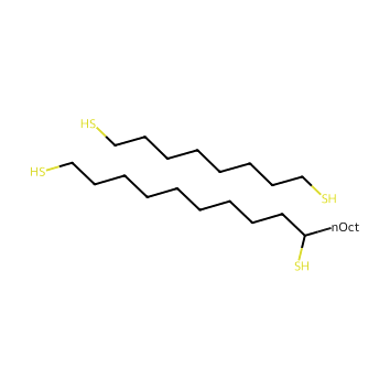 CCCCCCCCC(S)CCCCCCCCCS.SCCCCCCCCS